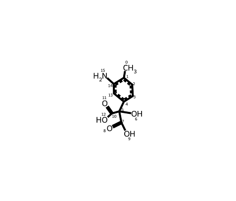 Cc1ccc(C(O)(C(=O)O)C(=O)O)cc1N